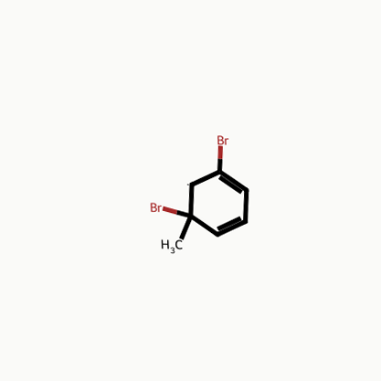 CC1(Br)[CH]C(Br)=CC=C1